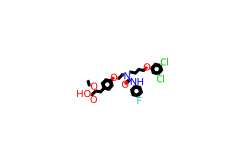 CCOC(Cc1ccc(OCCN(CCCCOc2cc(Cl)cc(Cl)c2)C(=O)Nc2ccc(F)cc2)cc1)C(=O)O